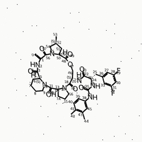 C=C1NC(=O)[C@@H]2CCCCN2C(=O)[C@@H]2CCCN2C(=O)[C@@H](NC(=O)[C@H](Cc2cc(F)cc(F)c2)NC(=O)Nc2ccc(C)c(C)c2)COC(=O)[C@@H]2C[C@H](C)CN2C1=O